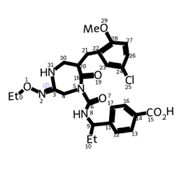 CCO/N=C1/CN(C(=O)NC(CC)c2ccc(C(=O)O)cc2)C(=O)C(Cc2cc(Cl)ccc2OC)CN1